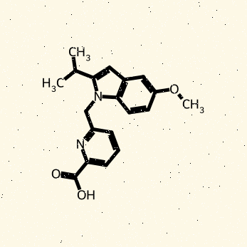 COc1ccc2c(c1)cc(C(C)C)n2Cc1cccc(C(=O)O)n1